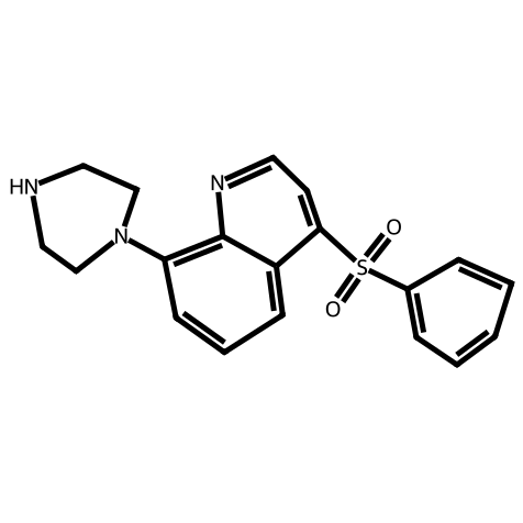 O=S(=O)(c1ccccc1)c1ccnc2c(N3CCNCC3)cccc12